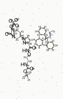 C/C=C/[P+](c1ccccc1)(c1ccccc1)c1ccccc1.CC(C)(C)OC(=O)NCCONC(=O)c1ccn(C2=CC3CN(C2)C(=O)N3OS(=O)(=O)[O-])n1